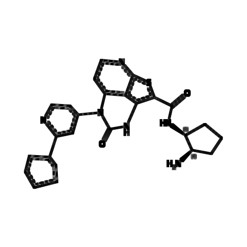 N[C@@H]1CCC[C@@H]1NC(=O)c1sc2nccc3c2c1NC(=O)N3c1ccnc(-c2ccccc2)c1